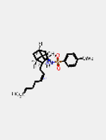 COc1ccc(S(=O)(=O)N[C@H]2C[C@H]3C[C@@H]([C@@H]2C/C=C\CCCC(=O)O)C3(C)C)cc1